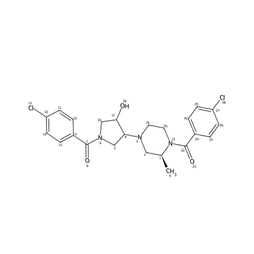 C[C@H]1CN(C2CN(C(=O)c3ccc(Cl)cc3)CC2O)CCN1C(=O)c1ccc(Cl)cc1